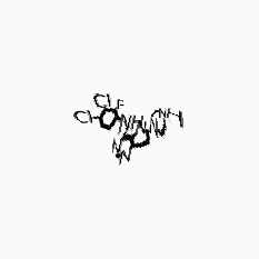 Fc1c(Nc2ncnc3ccc(N4CCNCC4)nc23)ccc(Cl)c1Cl